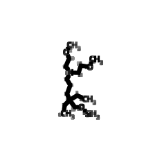 CCC(CC)(CCCN(CCOC)CCOC)CO[SiH3]